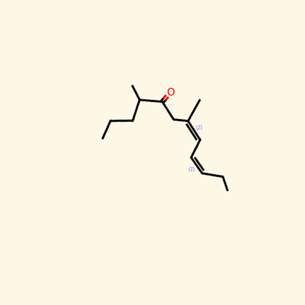 CC/C=C\C=C(\C)CC(=O)C(C)CCC